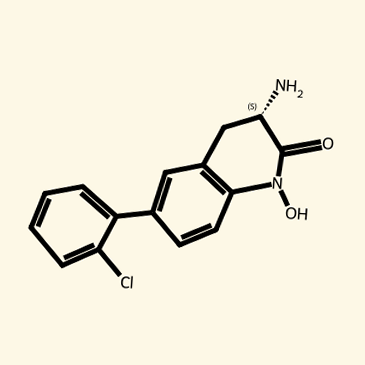 N[C@H]1Cc2cc(-c3ccccc3Cl)ccc2N(O)C1=O